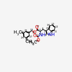 COC(=O)NC(Cc1c[nH]c2ccccc12)C(=O)OCc1cc(C)cc(C)c1